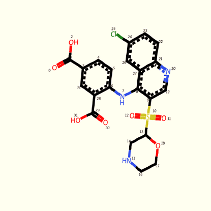 O=C(O)c1ccc(Nc2c(S(=O)(=O)C3CNCCO3)cnc3ccc(Cl)cc23)c(C(=O)O)c1